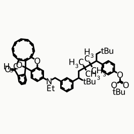 CCN(Cc1cccc(C(CC(C)(C)C(C)(C)C(CC(C)(C)C)c2ccc(OC(=O)OC(C)(C)C)cc2)C(C)(C)C)c1)c1ccc2c(c1)Oc1cccccccc(C)c1C21OC(=O)c2ccccc21